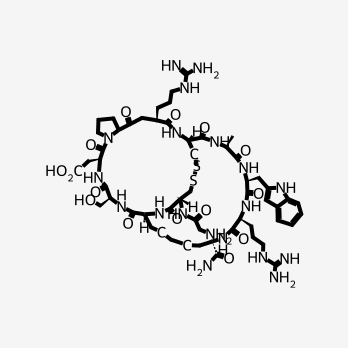 C[C@@H]1NC(=O)[C@@H]2CSSC[C@H](NC(=O)CN)C(=O)N[C@@H](CCCCC[C@@H](C(N)=O)NC(=O)[C@H](CCCNC(=N)N)NC(=O)[C@H](Cc3cc4ccccc4[nH]3)NC1=O)C(=O)N[C@@H](CO)C(=O)N[C@@H](CC(=O)O)C(=O)N1CCCC1C(=O)C[C@@H](CCCNC(=N)N)C(=O)N2